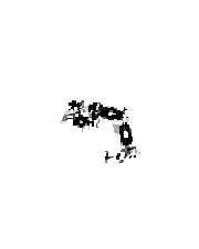 COc1cc(F)c(O[C@H]2CC[C@@H](C(=O)O)CC2)cc1C(=O)N[C@@H]1[C@H]2CC[C@H](C2)[C@@H]1C(=O)N[C@@H](C)C(C)(C)C